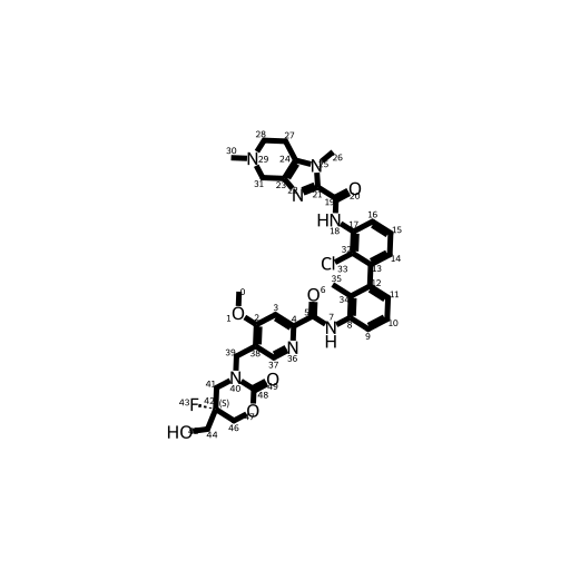 COc1cc(C(=O)Nc2cccc(-c3cccc(NC(=O)c4nc5c(n4C)CCN(C)C5)c3Cl)c2C)ncc1CN1C[C@](F)(CO)COC1=O